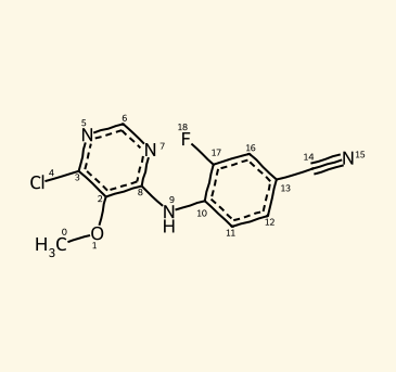 COc1c(Cl)ncnc1Nc1ccc(C#N)cc1F